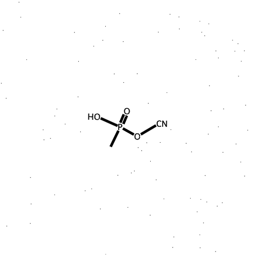 CP(=O)(O)OC#N